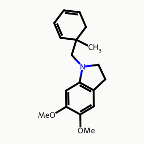 COc1cc2c(cc1OC)N(CC1(C)C=CC=CC1)CC2